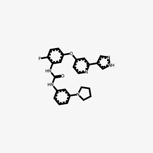 O=C(Nc1cccc(N2CCCC2)c1)Nc1cc(Oc2ccnc(-c3cn[nH]c3)c2)ccc1F